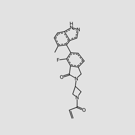 C=CC(=O)N1CC(N2Cc3ccc(-c4c(C)ccc5[nH]ncc45)c(F)c3C2=O)C1